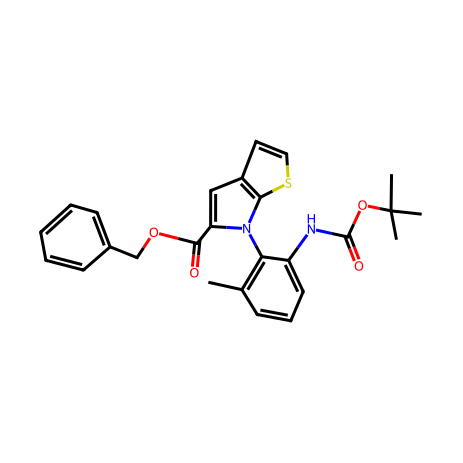 Cc1cccc(NC(=O)OC(C)(C)C)c1-n1c(C(=O)OCc2ccccc2)cc2ccsc21